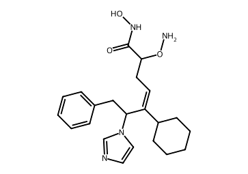 NOC(CC=C(C1CCCCC1)C(Cc1ccccc1)n1ccnc1)C(=O)NO